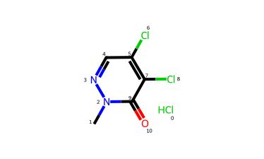 Cl.Cn1ncc(Cl)c(Cl)c1=O